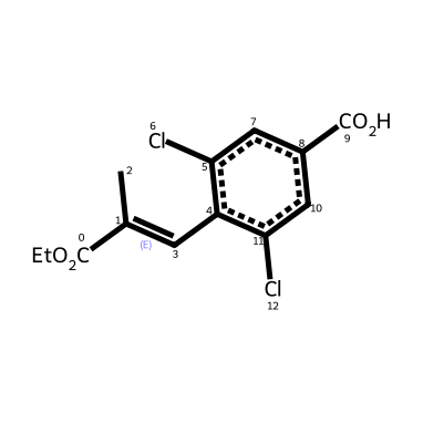 CCOC(=O)/C(C)=C/c1c(Cl)cc(C(=O)O)cc1Cl